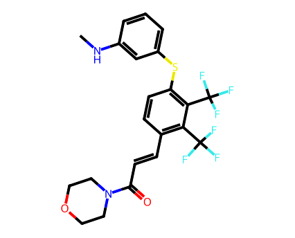 CNc1cccc(Sc2ccc(C=CC(=O)N3CCOCC3)c(C(F)(F)F)c2C(F)(F)F)c1